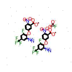 COC(=O)c1cc(Oc2c(F)cc(C(F)(F)F)cc2[N+]#N)ccc1[N+](=O)[O-].COC(=O)c1cc(Oc2c(F)cc(C(F)(F)F)cc2[N+]#N)ccc1[N+](=O)[O-].[O-]B([O-])F